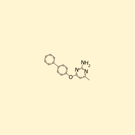 Cc1cc(Oc2ccc(-c3ccccc3)cc2)nc(N)n1